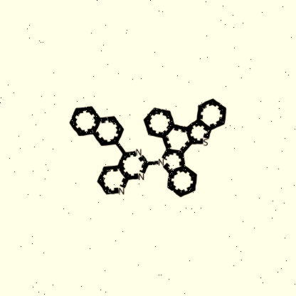 c1ccc2cc(-c3nc(-n4c5ccccc5c5c6sc7ccccc7c6c6ccccc6c54)nc4ncccc34)ccc2c1